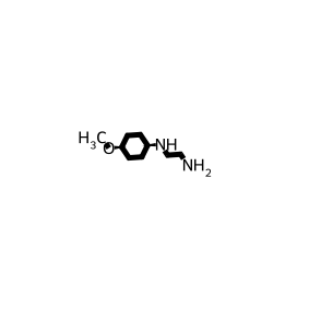 CO[C@H]1CC[C@@H](NCCN)CC1